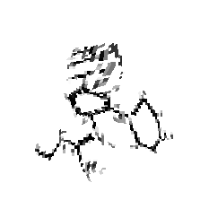 CCNC(N)=Nc1ccccc1N1CCOCC1.CN.CN.CN